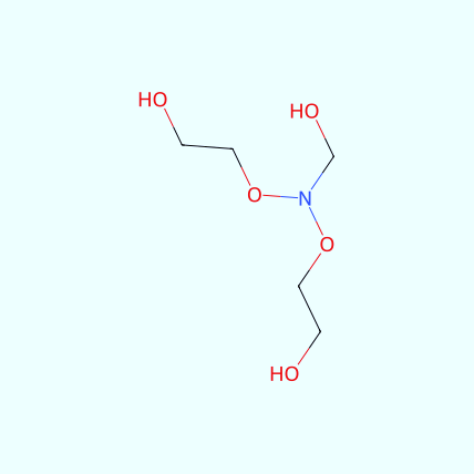 OCCON(CO)OCCO